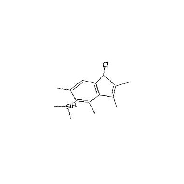 CC1=C(C)C(Cl)c2cc(C)c([SiH](C)C)c(C)c21